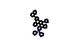 c1ccc(-c2cc(-c3ccc(-c4cccc5ccccc45)cc3)c(-c3ccccc3)c3c4ccc(N(c5ccccc5)c5ccccc5)cc4c4ccccc4c23)cc1